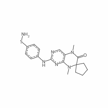 CN1C(=O)C2(CCCC2)N(C)c2nc(Nc3ccc(SN)cc3)ncc21